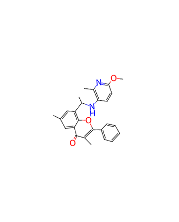 COc1ccc(NC(C)c2cc(C)cc3c(=O)c(C)c(-c4ccccc4)oc23)c(C)n1